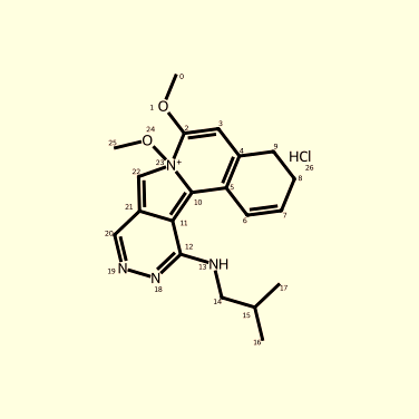 COC1=CC2=C(C=CCC2)C2=c3c(NCC(C)C)nncc3=C[N+]12OC.Cl